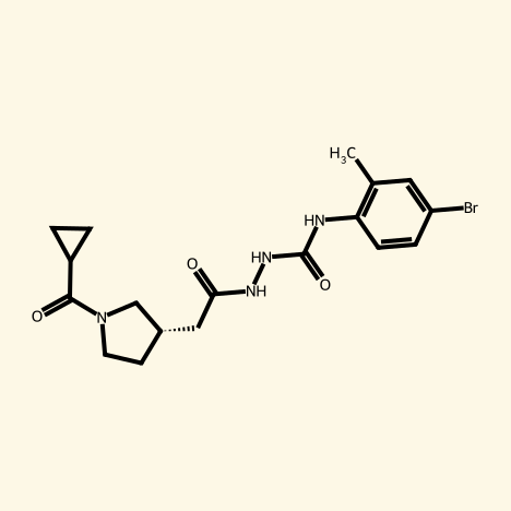 Cc1cc(Br)ccc1NC(=O)NNC(=O)C[C@@H]1CCN(C(=O)C2CC2)C1